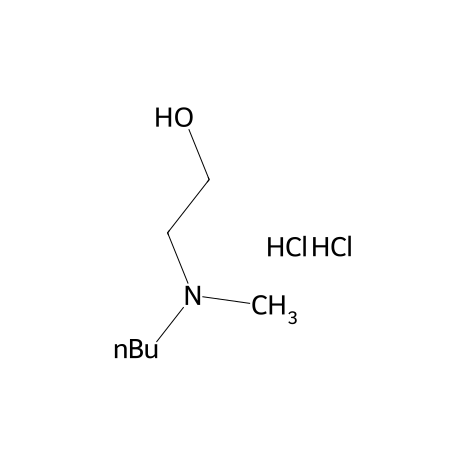 CCCCN(C)CCO.Cl.Cl